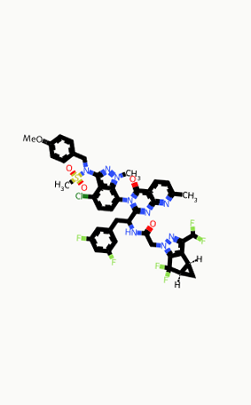 COc1ccc(CN(c2nn(C)c3c(-n4c(C(Cc5cc(F)cc(F)c5)NC(=O)Cn5nc(C(F)F)c6c5C(F)(F)[C@@H]5C[C@H]65)nc5nc(C)ccc5c4=O)ccc(Cl)c23)S(C)(=O)=O)cc1